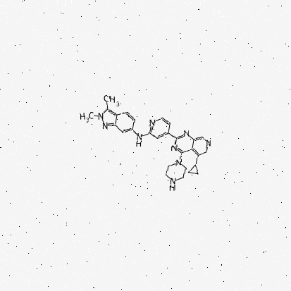 Cc1c2ccc(Nc3cc(-c4nc(N5CCNCC5)c5c(C6CC6)cncc5n4)ccn3)cc2nn1C